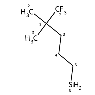 CC(C)(CCC[SiH3])C(F)(F)F